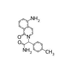 Cc1ccc(C(C(N)=O)n2ccc3c(N)cccc3c2=O)cc1